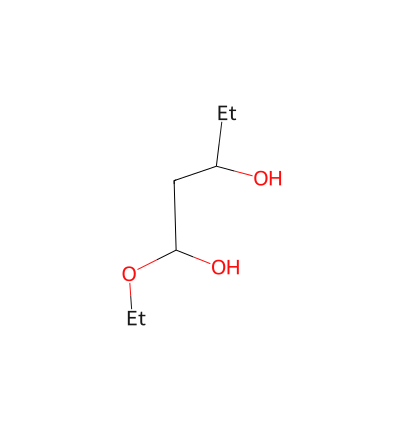 CCOC(O)CC(O)CC